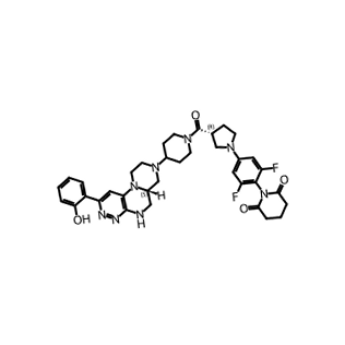 O=C([C@@H]1CCN(c2cc(F)c(N3C(=O)CCCC3=O)c(F)c2)C1)N1CCC(N2CCN3c4cc(-c5ccccc5O)nnc4NC[C@H]3C2)CC1